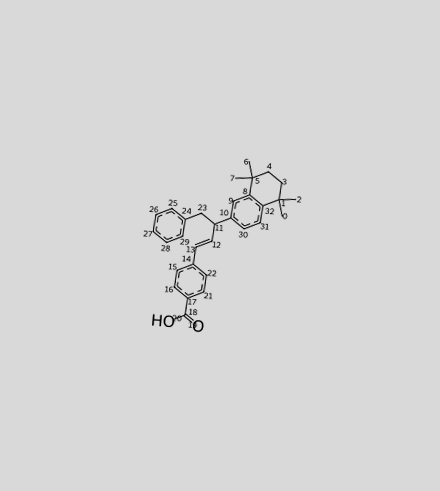 CC1(C)CCC(C)(C)c2cc(C(C=Cc3ccc(C(=O)O)cc3)Cc3ccccc3)ccc21